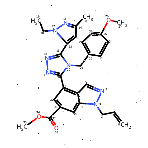 C=CCn1ncc2c(-c3nnc(-c4cc(C)nn4CC)n3Cc3ccc(OC)cc3)cc(C(=O)OC)cc21